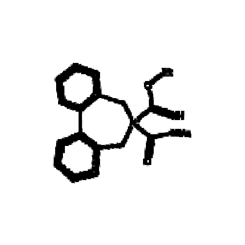 CCOC(=N)[N+]1(C(=O)NC)Cc2ccccc2-c2ccccc2C1